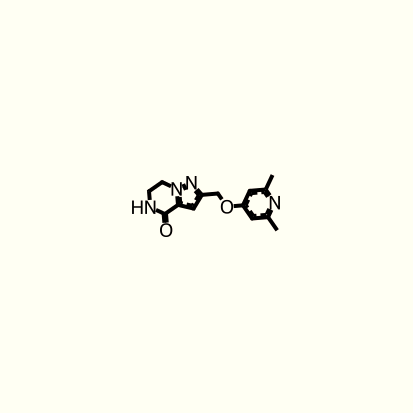 Cc1cc(OCc2cc3n(n2)CCNC3=O)cc(C)n1